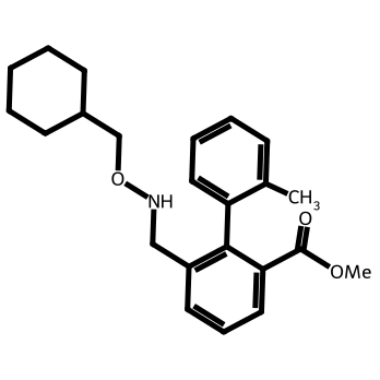 COC(=O)c1cccc(CNOCC2CCCCC2)c1-c1ccccc1C